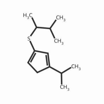 CC(C)C1=CC(SC(C)C(C)C)=CC1